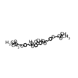 C=C(C)C(=O)OCCCOc1ccc(C=CC(=O)Oc2ccc3c(c2)C(C)(C)c2cc(OC(=O)C=Cc4ccc(OCCCOC(=O)C(=C)C)cc4)ccc2-3)cc1